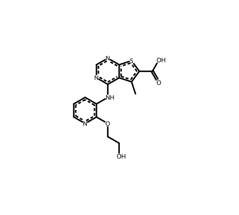 Cc1c(C(=O)O)sc2ncnc(Nc3cccnc3OCCO)c12